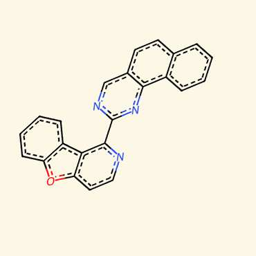 c1ccc2c(c1)ccc1cnc(-c3nccc4oc5ccccc5c34)nc12